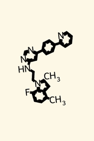 Cc1ccc(F)c2c1cc(C)n2CCNc1cc(-c2ccc(-c3ccccn3)cc2)ncn1